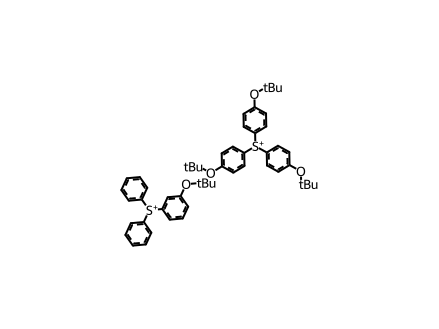 CC(C)(C)Oc1ccc([S+](c2ccc(OC(C)(C)C)cc2)c2ccc(OC(C)(C)C)cc2)cc1.CC(C)(C)Oc1cccc([S+](c2ccccc2)c2ccccc2)c1